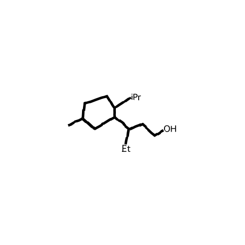 CCC(CCO)C1CC(C)CCC1C(C)C